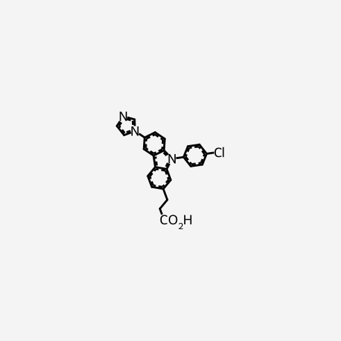 O=C(O)CCc1ccc2c3cc(-n4ccnc4)ccc3n(-c3ccc(Cl)cc3)c2c1